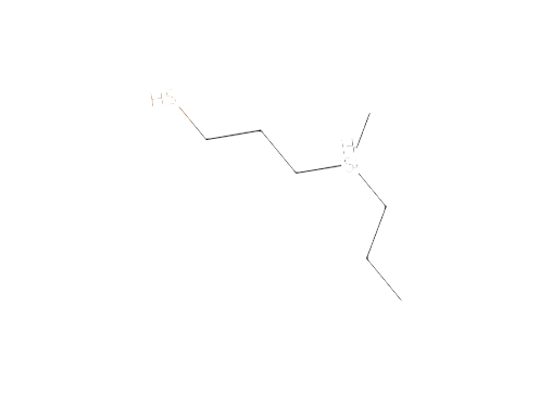 CCC[SiH](C)CCCS